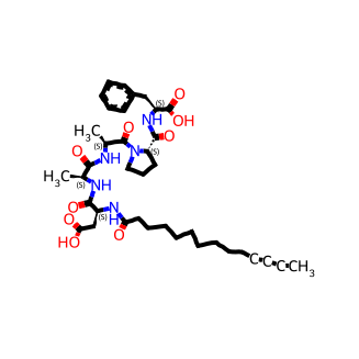 CCCCCCCCCCCCCC(=O)N[C@@H](CC(=O)O)C(=O)N[C@@H](C)C(=O)N[C@@H](C)C(=O)N1CCC[C@H]1C(=O)N[C@@H](Cc1ccccc1)C(=O)O